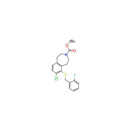 CC(C)(C)OC(=O)N1CCc2ccc(Cl)c(SCc3ccccc3F)c2CC1